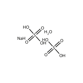 O.O=S(=O)(O)O.O=S(=O)(O)O.[NaH]